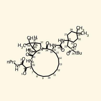 CCCNC(=O)C(=O)[C@@H]1CCCCCCCCC[C@H](NC(=O)NC2(CS(=O)(=O)C(C)(C)C)CCC(C)(C)CC2)C(=O)N2C[C@H]3[C@@H]([C@H]2C(=O)N1)C3(C)C